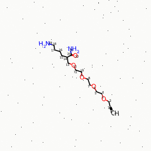 C#CCOCCOCCOCCOCC(CCCCN)C(N)=O